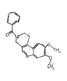 COc1cc2ncc3c(c2cc1OC)CCN(C(=O)c1ccccc1)C3